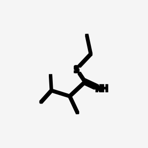 CCSC(=N)C(C)C(C)C